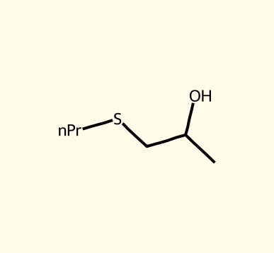 CCCSCC(C)O